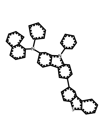 c1ccc(N(c2ccc3c4cc(-c5ccc6sc7ccccc7c6c5)ccc4n(-c4ccccc4)c3c2)c2cccc3ccccc23)cc1